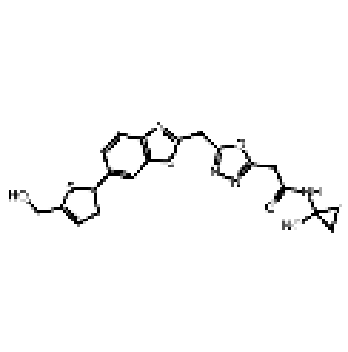 N#CC1(NC(=O)Cc2nnc(Cc3nc4ccc(C5CC=C(CO)S5)cc4s3)o2)CC1